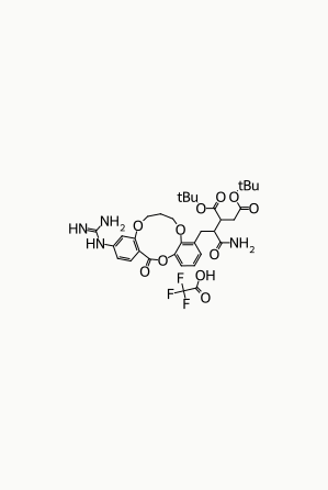 CC(C)(C)OC(=O)CC(C(=O)OC(C)(C)C)C(Cc1cccc2c1OCCCOc1cc(NC(=N)N)ccc1C(=O)O2)C(N)=O.O=C(O)C(F)(F)F